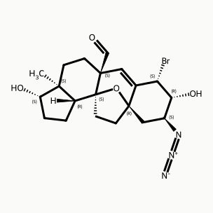 C[C@]12CC[C@]3(C=O)C=C4[C@H](Br)[C@H](O)[C@@H](N=[N+]=[N-])C[C@]45CC[C@]3(O5)[C@@H]1CC[C@@H]2O